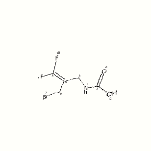 O=C(O)NCC(CBr)=C(F)F